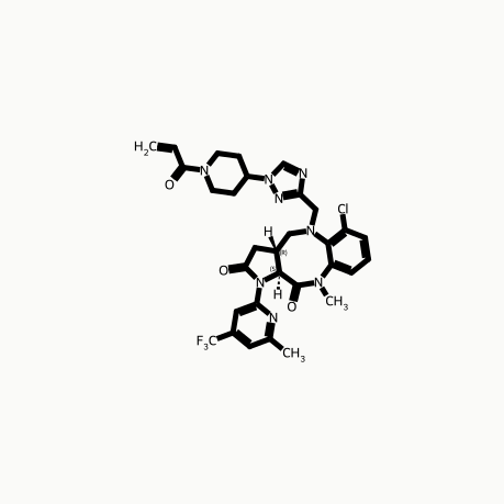 C=CC(=O)N1CCC(n2cnc(CN3C[C@H]4CC(=O)N(c5cc(C(F)(F)F)cc(C)n5)[C@@H]4C(=O)N(C)c4cccc(Cl)c43)n2)CC1